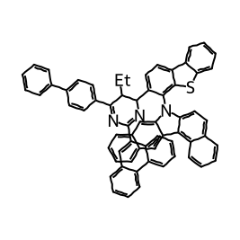 CCC1C(c2ccc(-c3ccccc3)cc2)=NC(c2cc3ccccc3c3ccccc23)=NC1c1ccc2c(sc3ccccc32)c1-n1c2cc3ccccc3cc2c2c3ccccc3ccc21